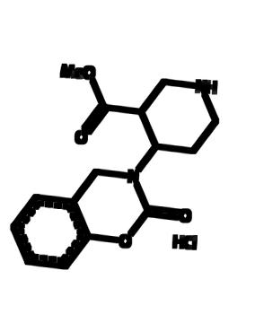 COC(=O)C1CNCCC1N1Cc2ccccc2OC1=O.Cl